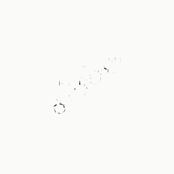 Cc1cccnc1OCC(C)(C)C(=O)NC1CCN(C(=O)OC(C)(C)C)CC1C